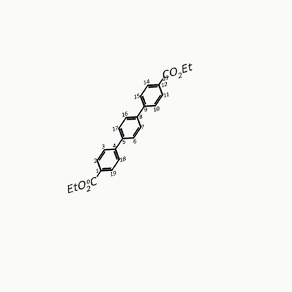 CCOC(=O)c1ccc(-c2ccc(-c3ccc(C(=O)OCC)cc3)cc2)cc1